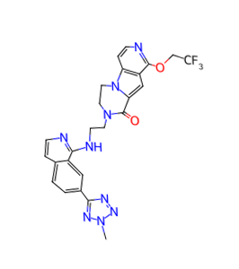 Cn1nnc(-c2ccc3ccnc(NCCN4CCn5c(cc6c(OCC(F)(F)F)nccc65)C4=O)c3c2)n1